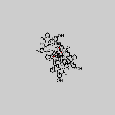 NCCCC[C@H](NC(=O)[C@@H]1CCCN1C(=O)CNC(=O)[C@@H]1C[C@@H](O)CN1C(=O)[C@@H]1CCCN1C(=O)CNC(=O)[C@@H]1C[C@@H](O)CN1C(=O)[C@@H]1CCCN1C(=O)CNC(=O)[C@@H]1C[C@@H](O)CN1C(=O)[C@@H]1CCCN1C(=O)CNC(=O)[C@@H]1C[C@@H](O)CN1C(=O)[C@@H]1CCCN1)C(=O)NCC(=O)N1CCC[C@H]1C(=O)N1C[C@H](O)C[C@H]1C(=O)NCC(=O)N1CCC[C@H]1C(=O)N1C[C@H](O)C[C@H]1C(=O)O